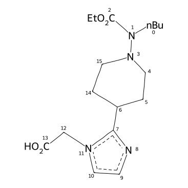 CCCCN(C(=O)OCC)N1CCC(c2nccn2CC(=O)O)CC1